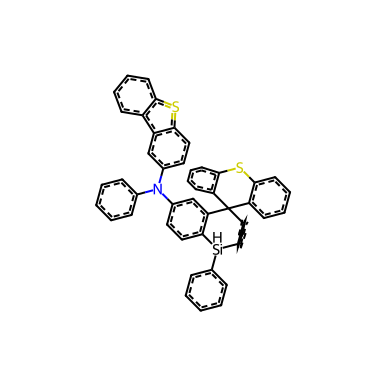 c1ccc(N(c2ccc3c(c2)C2(c4ccccc4Sc4ccccc42)c2ccccc2[SiH]3c2ccccc2)c2ccc3sc4ccccc4c3c2)cc1